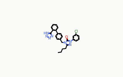 CCCCc1nn(-c2cccc(Cl)c2)c(=O)n1Cc1ccc(-c2ccccc2-c2nnn[nH]2)cc1